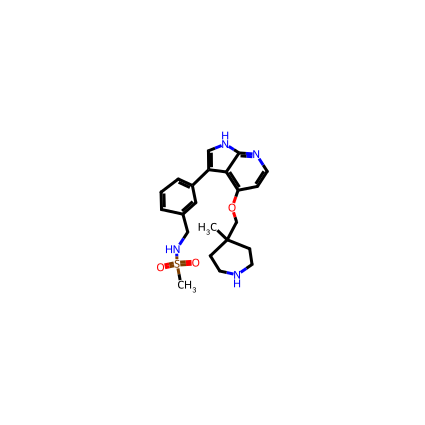 CC1(COc2ccnc3[nH]cc(-c4cccc(CNS(C)(=O)=O)c4)c23)CCNCC1